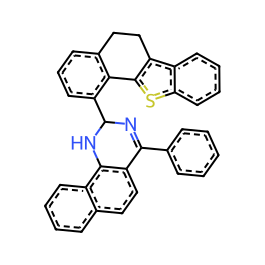 c1ccc(C2=NC(c3cccc4c3-c3sc5ccccc5c3CC4)Nc3c2ccc2ccccc32)cc1